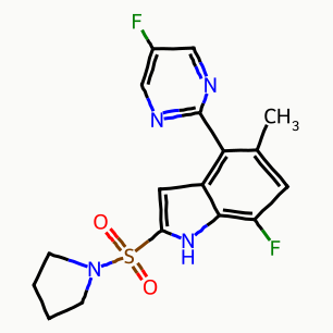 Cc1cc(F)c2[nH]c(S(=O)(=O)N3CCCC3)cc2c1-c1ncc(F)cn1